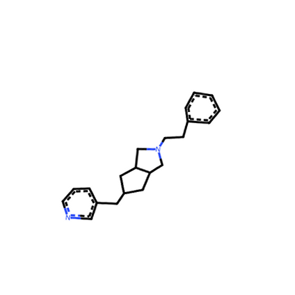 c1ccc(CCN2CC3CC(Cc4cccnc4)CC3C2)cc1